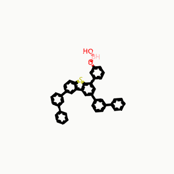 OBOc1cccc(-c2cc(-c3cccc(-c4ccccc4)c3)cc3c2sc2ccc(-c4cccc(-c5ccccc5)c4)cc23)c1